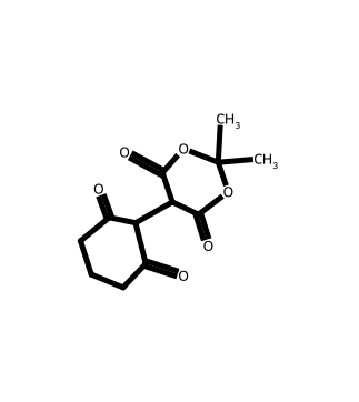 CC1(C)OC(=O)[C](C2C(=O)CCCC2=O)C(=O)O1